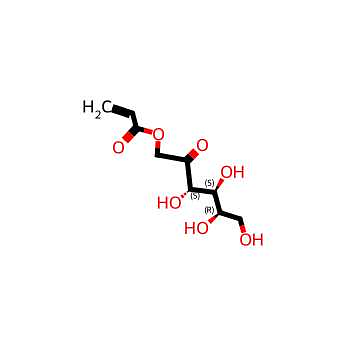 C=CC(=O)OCC(=O)[C@@H](O)[C@@H](O)[C@H](O)CO